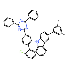 Cc1cc(C)cc(-c2ccc3c(c2)c2ccccc2n3-c2cc(-c3nc(-c4ccccc4)nc(-c4ccccc4)n3)ccc2-c2ccccc2F)c1